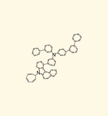 C1=CC=CC(n2c3cccc(-c4cccc(N(c5ccc(-c6cccc(-c7ccccc7)c6)cc5)c5cccc(-c6ccccc6)c5)c4)c3c3c4ccccc4ccc32)C=C1